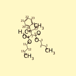 CCCCOC(=O)C(C(=O)OCCCC)C(C)(CC)c1ccccc1